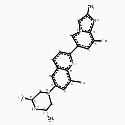 Cc1cn2cc(-c3ccc4cc(N5C[C@H](C)N[C@@H](C)C5)cc(F)c4n3)cc(F)c2n1